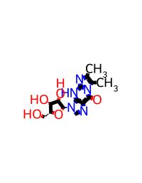 Cc1nc2[nH]c3c(ncn3[C@@H]3O[C@H](CO)[C@H](O)C3O)c(=O)n2c1C